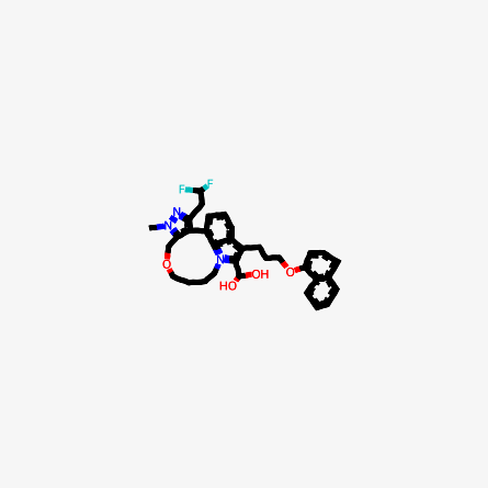 Cn1nc(CC(F)F)c2c1COCCCCn1c(C(O)O)c(CCCOc3cccc4ccccc34)c3cccc-2c31